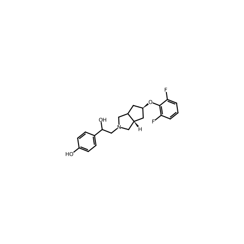 Oc1ccc(C(O)CN2CC3C[C@@H](Oc4c(F)cccc4F)C[C@@H]3C2)cc1